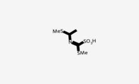 CSC(=NC(C)SC)S(=O)(=O)O